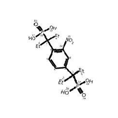 CCC(CC)(c1ccc(C(CC)(CC)P(=O)(O)O)c([N+](=O)[O-])c1)P(=O)(O)O